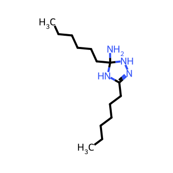 CCCCCCC1=NNC(N)(CCCCCC)N1